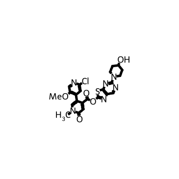 COc1cnc(Cl)cc1-c1cn(C)c(=O)cc1C(=O)Oc1nc2cnc(N3CCC(O)CC3)nc2s1